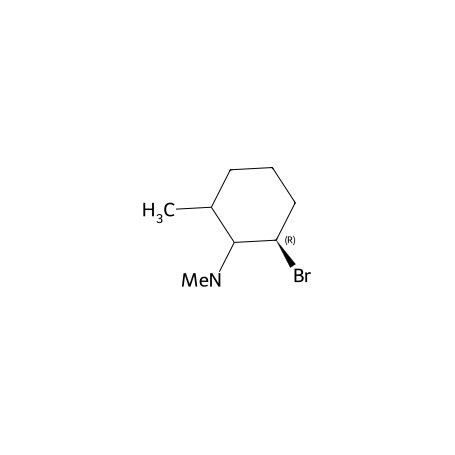 CNC1C(C)CCC[C@H]1Br